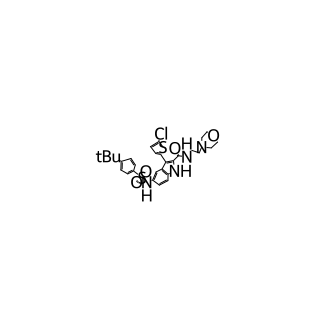 CC(C)(C)c1ccc(S(=O)(=O)Nc2ccc3[nH]c(C(=O)NCCN4CCOCC4)c(-c4ccc(Cl)s4)c3c2)cc1